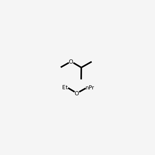 CCCOCC.COC(C)C